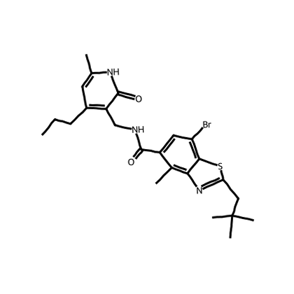 CCCc1cc(C)[nH]c(=O)c1CNC(=O)c1cc(Br)c2sc(CC(C)(C)C)nc2c1C